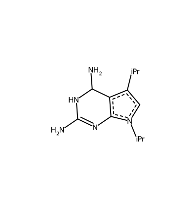 CC(C)c1cn(C(C)C)c2c1C(N)NC(N)=N2